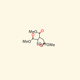 COC(=O)CC(C(=O)OC)C(C(=O)OC)S(=O)(=O)O